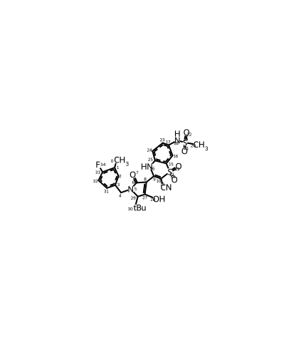 Cc1cc(CN2C(=O)C(C3=C(C#N)S(=O)(=O)c4cc(NS(C)(=O)=O)ccc4N3)=C(O)C2C(C)(C)C)ccc1F